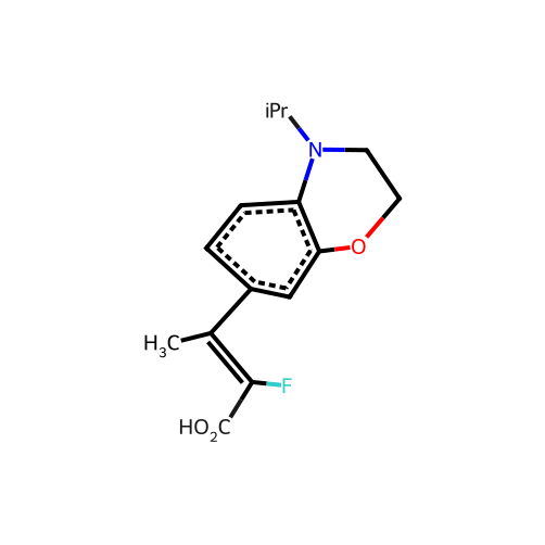 CC(=C(F)C(=O)O)c1ccc2c(c1)OCCN2C(C)C